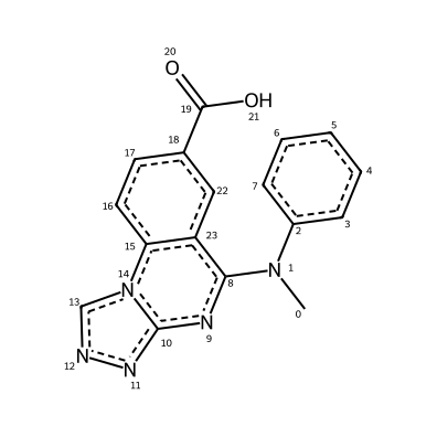 CN(c1ccccc1)c1nc2nncn2c2ccc(C(=O)O)cc12